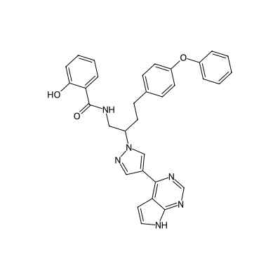 O=C(NCC(CCc1ccc(Oc2ccccc2)cc1)n1cc(-c2ncnc3[nH]ccc23)cn1)c1ccccc1O